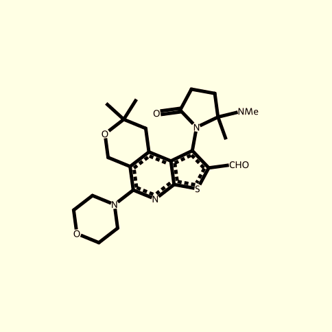 CNC1(C)CCC(=O)N1c1c(C=O)sc2nc(N3CCOCC3)c3c(c12)CC(C)(C)OC3